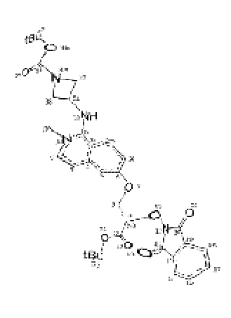 C[n+]1ccc2cc(OC[C@H](ON3C(=O)c4ccccc4C3=O)C(=O)OC(C)(C)C)ccc2c1NC1CN(C(=O)OC(C)(C)C)C1